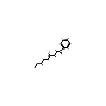 CCCCCC(F)CCOc1ccccc1